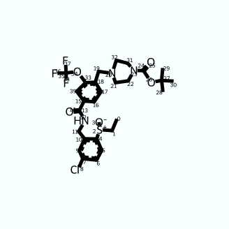 CC[S+]([O-])c1ccc(Cl)cc1CNC(=O)c1ccc(CN2CCN(C(=O)OC(C)(C)C)CC2)c(OC(F)(F)F)c1